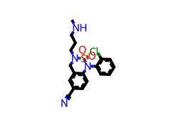 CNCCCN1Cc2cc(C#N)ccc2N(c2ccccc2Cl)S1(=O)=O